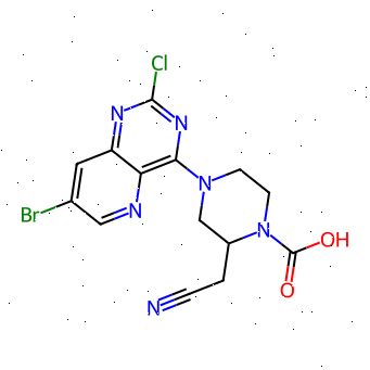 N#CCC1CN(c2nc(Cl)nc3cc(Br)cnc23)CCN1C(=O)O